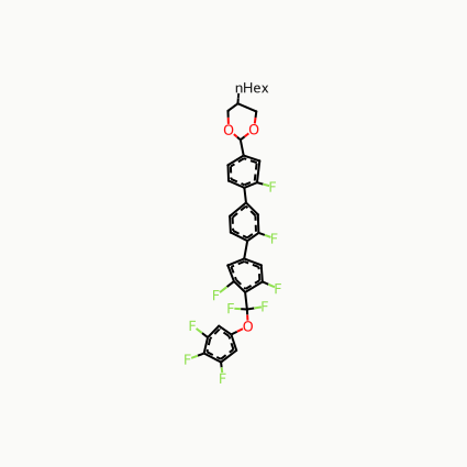 CCCCCCC1COC(c2ccc(-c3ccc(-c4cc(F)c(C(F)(F)Oc5cc(F)c(F)c(F)c5)c(F)c4)c(F)c3)c(F)c2)OC1